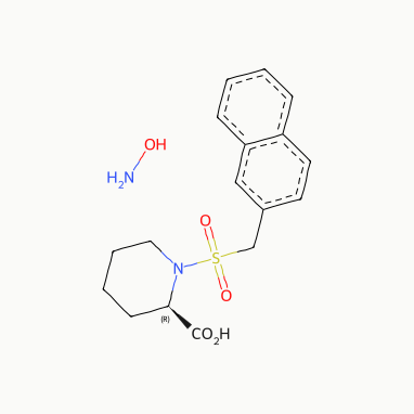 NO.O=C(O)[C@H]1CCCCN1S(=O)(=O)Cc1ccc2ccccc2c1